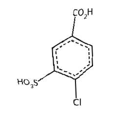 O=C(O)c1ccc(Cl)c(S(=O)(=O)O)c1